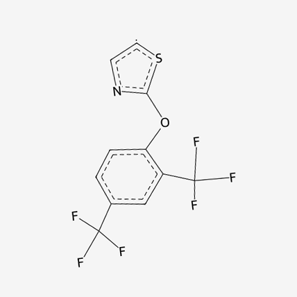 FC(F)(F)c1ccc(Oc2nc[c]s2)c(C(F)(F)F)c1